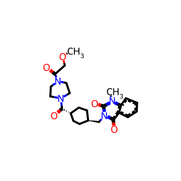 COCC(=O)N1CCN(C(=O)[C@H]2CC[C@H](Cn3c(=O)c4ccccc4n(C)c3=O)CC2)CC1